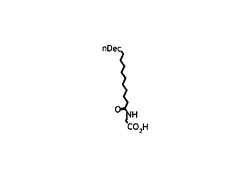 CCCCCCCCCCCCCCCCCCCC(=O)NCC(=O)O